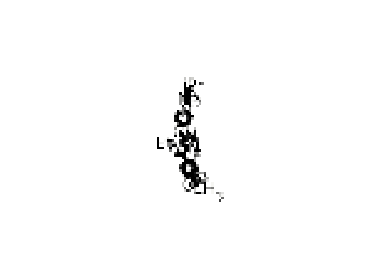 CCn1cc(-c2ccc(S(C)(=O)=O)cc2F)c2ncnc(OC3CCN(c4nc(C(C)C)no4)CC3)c21